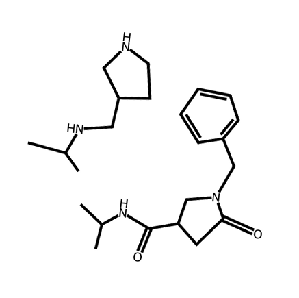 CC(C)NC(=O)C1CC(=O)N(Cc2ccccc2)C1.CC(C)NCC1CCNC1